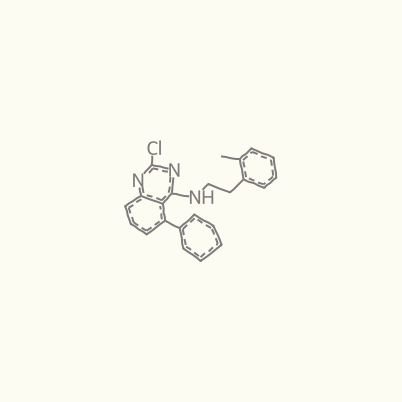 Cc1ccccc1CCNc1nc(Cl)nc2cccc(-c3ccccc3)c12